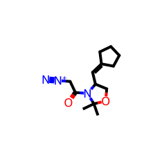 CC1(C)OCC(C=C2CCCC2)N1C(=O)C[N+]#N